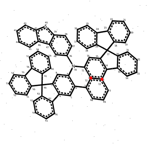 c1ccc(-c2cc3c(cc2N(c2ccc4c(c2)C2(c5ccccc5-c5ccccc52)c2ccccc2-4)c2ccc4sc5ccccc5c4c2)C2(c4ccccc4-c4ccccc42)c2ccccc2-3)cc1